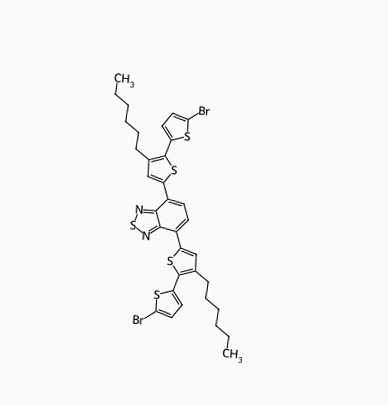 CCCCCCc1cc(-c2ccc(-c3cc(CCCCCC)c(-c4ccc(Br)s4)s3)c3nsnc23)sc1-c1ccc(Br)s1